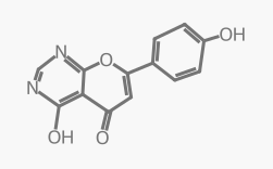 O=c1cc(-c2ccc(O)cc2)oc2ncnc(O)c12